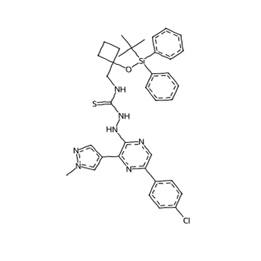 Cn1cc(-c2nc(-c3ccc(Cl)cc3)cnc2NNC(=S)NCC2(O[Si](c3ccccc3)(c3ccccc3)C(C)(C)C)CCC2)cn1